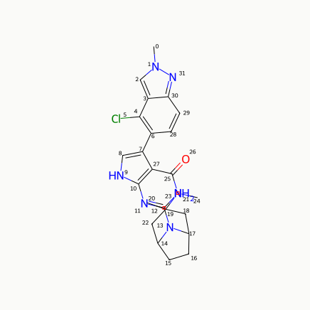 Cn1cc2c(Cl)c(-c3c[nH]c4nc(N5C6CCC5CC(C)(N)C6)n(C)c(=O)c34)ccc2n1